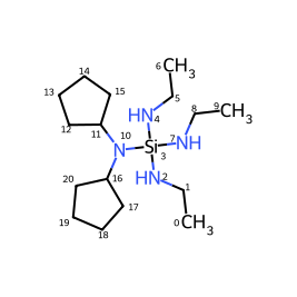 CCN[Si](NCC)(NCC)N(C1CCCC1)C1CCCC1